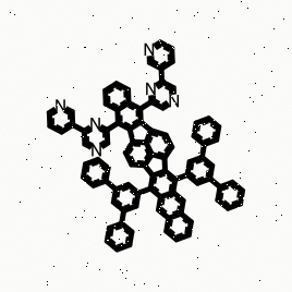 c1ccc(-c2cc(-c3ccccc3)cc(-c3c4c(c(-c5cc(-c6ccccc6)cc(-c6ccccc6)c5)c5cc6ccccc6cc35)-c3ccc5c6c(ccc-4c36)-c3c-5c(-c4cncc(-c5cccnc5)n4)c4ccccc4c3-c3cncc(-c4cccnc4)n3)c2)cc1